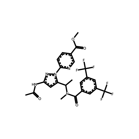 COC(=O)c1ccc(-n2nc(NC(C)=O)cc2C(C)N(C)C(=O)c2cc(C(F)(F)F)cc(C(F)(F)F)c2)nc1